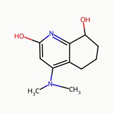 CN(C)c1cc(O)nc2c1CCCC2O